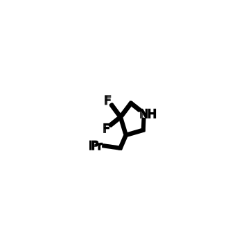 CC(C)CC1CNCC1(F)F